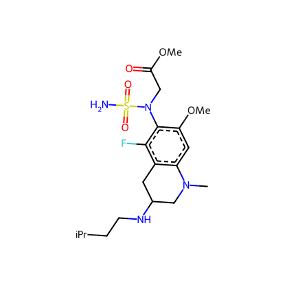 COC(=O)CN(c1c(OC)cc2c(c1F)CC(NCCC(C)C)CN2C)S(N)(=O)=O